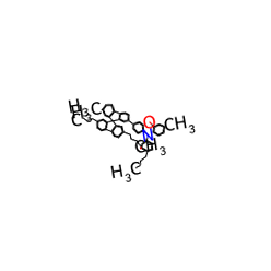 CCCCc1ccc(N2c3ccc(C)cc3Oc3cc(-c4ccc5c(c4)C4(c6cc(C)ccc6-5)c5cc(CCCC)ccc5-c5ccc(CCCC)cc54)ccc32)cc1